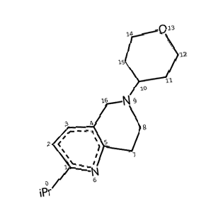 CC(C)c1ccc2c(n1)CCN(C1CCOCC1)C2